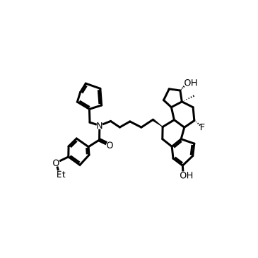 CCOc1ccc(C(=O)N(CCCCC[C@@H]2Cc3cc(O)ccc3C3C2C2CC[C@H](O)[C@@]2(C)C[C@@H]3F)Cc2ccccc2)cc1